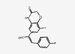 Cc1cc(/C(C=O)=C\c2ccc(F)cc2)cc2c1OCC(=O)N2